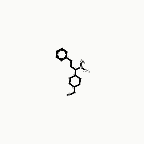 CN(C)C(CCc1ccccc1)C1CCC(CO)CC1